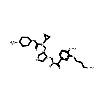 COCCCOc1cc(C(=O)N(C[C@@H]2CNC[C@H]2CN(C(=O)C[C@H]2CC[C@H](N)CC2)C2CC2)C(C)C)ccc1OC